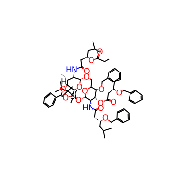 CCC(=O)O[C@@H](CC(=O)NC1[C@H](OCC2O[C@@H](O[Si](C)(C)C(C)(C)C(C)C)C(NC(=O)C[C@@H](CC(C)C)OCc3ccccc3)[C@@H](OC(=O)C[C@@H](CC)OCc3ccccc3)[C@@H]2OCc2ccccc2)OC2COC(c3ccccc3)O[C@H]2[C@@H]1C)CC(C)C